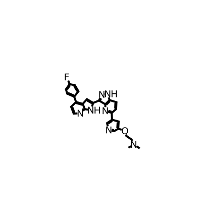 CN(C)CCOc1cncc(-c2ccc3[nH]nc(-c4cc5c(-c6ccc(F)cc6)ccnc5[nH]4)c3n2)c1